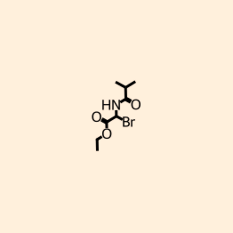 CCOC(=O)C(Br)NC(=O)C(C)C